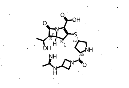 CC(=N)NC1CN(C(=O)[C@@H]2C[C@H](SC3=C(C(=O)O)N4C(=O)[C@H](C(C)O)[C@H]4[C@H]3C)CN2)C1